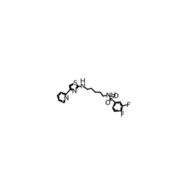 O=S(=O)(NCCCCCNc1nc(-c2ccccn2)cs1)c1ccc(F)c(F)c1